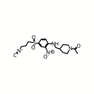 [C-]#[N+]CCCS(=O)(=O)c1ccc(NCC2CCN(C(C)=O)CC2)c([N+](=O)[O-])c1